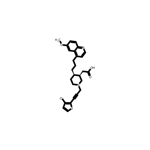 COc1ccc2nccc(CCC[C@@H]3CCN(CC#Cc4sccc4Cl)C[C@@H]3CC(=O)O)c2c1